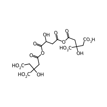 O=C(O)CC(O)(CC(=O)OC(=O)CC(O)C(=O)OC(=O)CC(O)(CC(=O)O)C(=O)O)C(=O)O